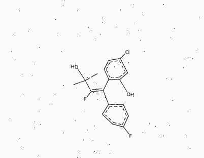 CC(C)(O)/C(F)=C(/c1ccc(F)cc1)c1ccc(Cl)cc1O